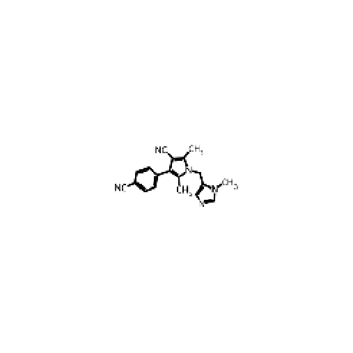 Cc1c(C#N)c(-c2ccc(C#N)cc2)c(C)n1Cc1cncn1C